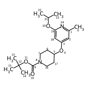 Cc1cc(OC2CCN(C(=O)OC(C)(C)C)CC2)cc(OC(C)C)n1